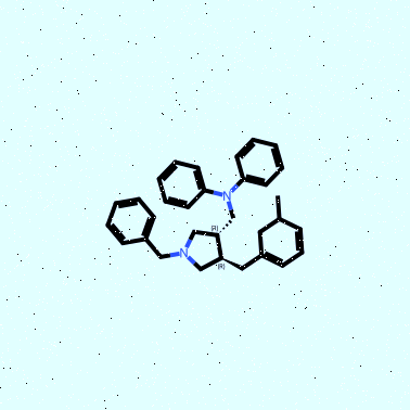 CC1C=CC=C(C[C@H]2CN(Cc3ccccc3)C[C@@H]2CN(c2ccccc2)c2ccccc2)C1